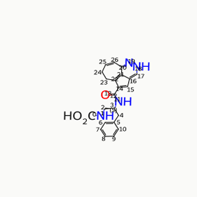 O=C(O)NC[C@H](Cc1ccccc1)NC(=O)c1cc2c[nH]nc3c-2c1CCC=C3